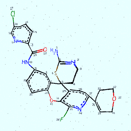 NC1=NCC[C@]2(S1)c1cc(NC(=O)c3ccc(Cl)cn3)ccc1Oc1c2cc(C2=CCOCC2)nc1F